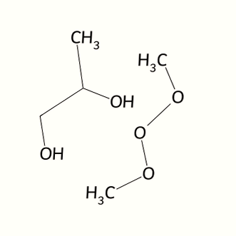 CC(O)CO.COOOC